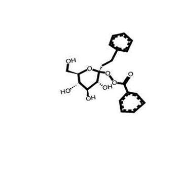 O=C(OO[C@]1(CCc2ccccc2)O[C@H](CO)[C@@H](O)[C@H](O)[C@H]1O)c1ccccc1